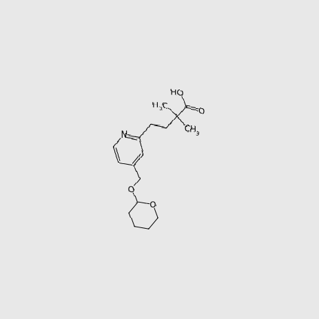 CC(C)(CCc1cc(COC2CCCCO2)ccn1)C(=O)O